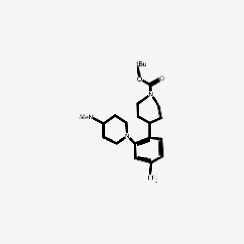 CNC1CCN(c2cc(C(F)(F)F)ccc2C2CCN(C(=O)OC(C)(C)C)CC2)CC1